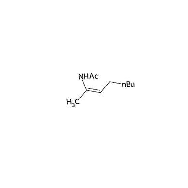 CCCCC/C=C(/C)NC(C)=O